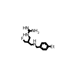 CCc1ccc(CNCC(CF)CNC(=N)N)cc1